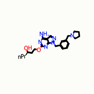 CCC[C@@H](O)CCOc1nc(N)c2cnn(Cc3cccc(CN4CCCC4)c3)c2n1